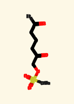 CCC(=O)CCCC(=O)COS(=O)(=O)OC